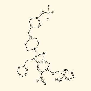 CC1(COc2cc3nc(N4CCN(Cc5ccc(OC(F)(F)F)cc5)CC4)n(Cc4ccccc4)c3cc2[N+](=O)[O-])NC=CN1